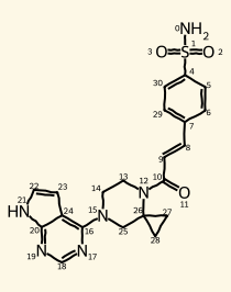 NS(=O)(=O)c1ccc(C=CC(=O)N2CCN(c3ncnc4[nH]ccc34)CC23CC3)cc1